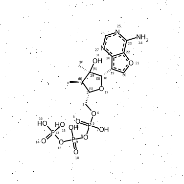 C[C@@H]1[C@@H](COP(=O)(O)OP(=O)(O)OP(=O)(O)O)O[C@@H](c2coc3c(N)ncnc23)[C@]1(C)O